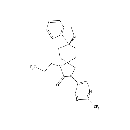 CN(C)[C@]1(c2ccccc2)CC[C@]2(CC1)CN(c1cnc(C(F)(F)F)nc1)C(=O)N2CCC(F)(F)F